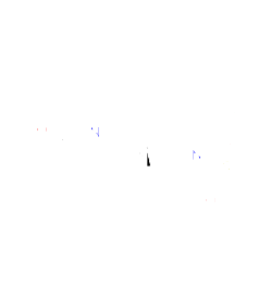 CC(C)(C)C1[C@@H]2CN(C(=O)O)CCc3ccc(Cl)c(c32)N1S(C)(=O)=O